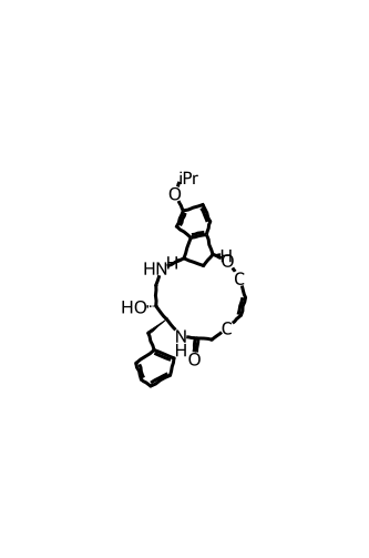 CC(C)Oc1ccc2c(c1)[C@@H]1C[C@H]2OCC=CCCC(=O)N[C@@H](Cc2ccccc2)[C@H](O)CN1